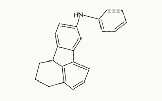 c1ccc(Nc2ccc3c(c2)-c2cccc4c2C3CCC4)cc1